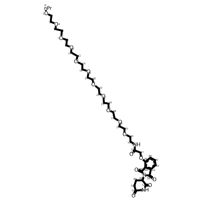 CCCOCCOCCOCCOCCOCCOCCOCCOCCOCCOCCOCCNC(=O)COc1cccc2c1C(=O)N(C1CCC(=O)NC1=O)C2=O